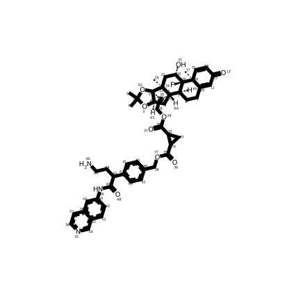 CC1(C)O[C@@H]2C[C@H]3[C@@H]4CCC5=CC(=O)C=C[C@]5(C)[C@@]4(F)[C@@H](O)C[C@]3(C)[C@]2(C(=O)COC(=O)C2CC2C(=O)OCc2ccc(C(CCN)C(=O)Nc3ccc4cnccc4c3)cc2)O1